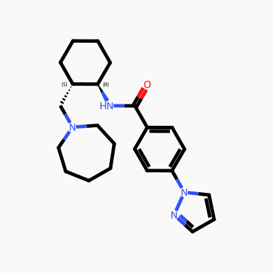 O=C(N[C@@H]1CCCC[C@H]1CN1CCCCCC1)c1ccc(-n2cccn2)cc1